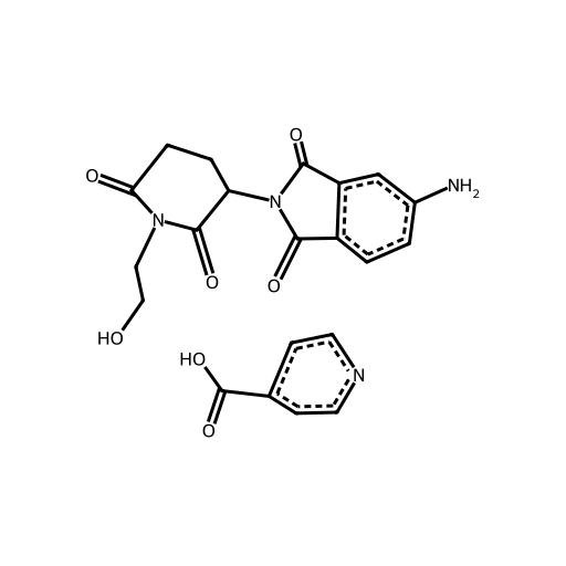 Nc1ccc2c(c1)C(=O)N(C1CCC(=O)N(CCO)C1=O)C2=O.O=C(O)c1ccncc1